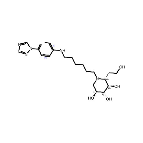 C=C(/C=C\C(=C/C)NCCCCCCN1C[C@H](O)[C@@H](O)[C@H](O)[C@H]1CCO)n1cnnn1